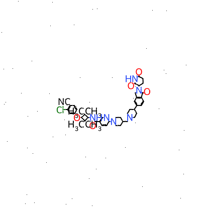 CC1(C)C(NC(=O)c2ccc(N3CCC(CN4CCC(c5ccc6c(c5)CN(C5CCC(=O)NC5=O)C6=O)CC4)CC3)nc2)C(C)(C)C1Oc1ccc(C#N)c(Cl)c1